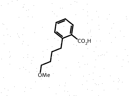 COCCCCc1ccccc1C(=O)O